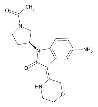 CC(=O)N1CC[C@H](N2C(=O)/C(=C3/COCCN3)c3cc(N)ccc32)C1